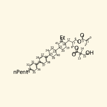 C=C(C)C(=O)OCC(COC(=O)C(C)(C)CO)CC1CCC(C2CCC(c3ccc(-c4ccc(CCCCC)cc4)cc3)CC2)CC1CC